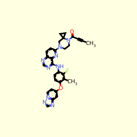 CC#CC(=O)N1CCN(c2ccc3ncnc(Nc4ccc(Oc5ccn6ncnc6c5)c(C)c4F)c3n2)CC12CC2